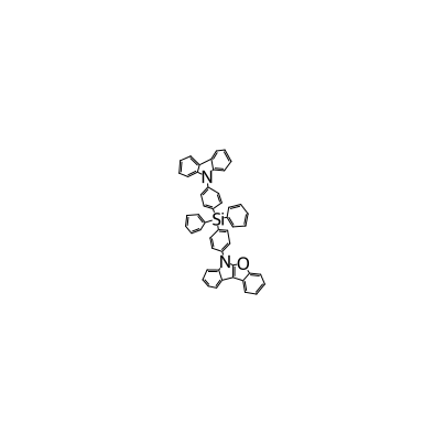 c1ccc([Si](c2ccccc2)(c2ccc(-n3c4ccccc4c4ccccc43)cc2)c2ccc(-n3c4ccccc4c4c5ccccc5oc43)cc2)cc1